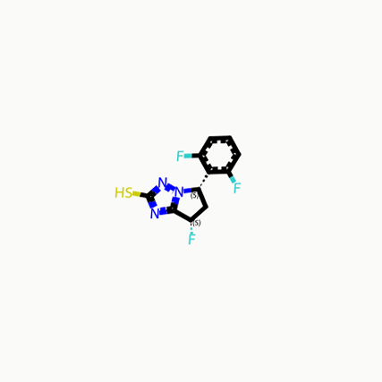 Fc1cccc(F)c1[C@@H]1C[C@H](F)c2nc(S)nn21